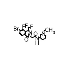 CCN1CCCC(NC(=O)Cn2nc(C(F)F)c3c(F)c(Br)ccc3c2=O)C1